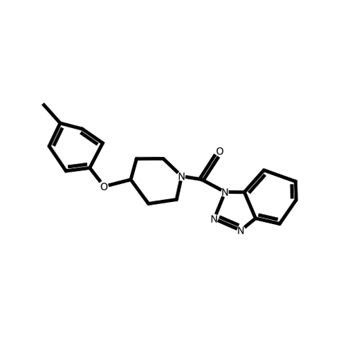 Cc1ccc(OC2CCN(C(=O)n3nnc4ccccc43)CC2)cc1